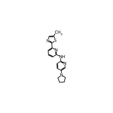 Cc1cnc(-c2cccc(Nc3ccc(N4CCCC4)cn3)n2)s1